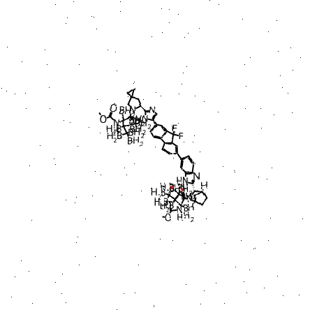 BC(B)(B)C(B)(C(B)(B)B)C(B)(NC(=O)OC)C(=O)N1CC2(CC2)C[C@H]1c1ncc(-c2ccc3c(c2)C(F)(F)c2cc(-c4ccc5nc([C@@H]6[C@H]7CC[C@H](C7)N6C(=O)C(B)(NC(=O)OC)C(B)(C(B)(B)B)C(B)(B)B)[nH]c5c4)ccc2-3)[nH]1